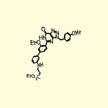 CCOC(=O)CCNc1cccc(-c2ccc(-c3nc4c(nnn4Cc4ccc(OC)cc4)c(=O)[nH]3)c(OCC)c2)c1